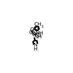 Cc1ccc2c(c1)S(=O)(=O)N=C(NCC1CCNCC1)N2.Cl